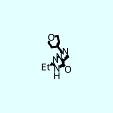 CCc1nn2c(C3=CCOCC3)ncc2c(=O)[nH]1